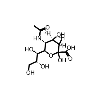 [2H]C1([2H])C(O)(C(=O)O)O[C@@H]([C@H](O)[C@H](O)CO)[C@H](NC(C)=O)[C@@]1([2H])O